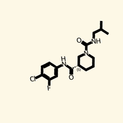 CC(C)CNC(=O)N1CCC[C@H](C(=O)Nc2ccc(Cl)c(F)c2)C1